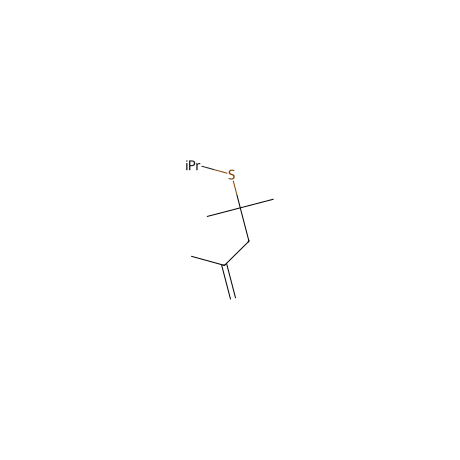 C=C(C)CC(C)(C)SC(C)C